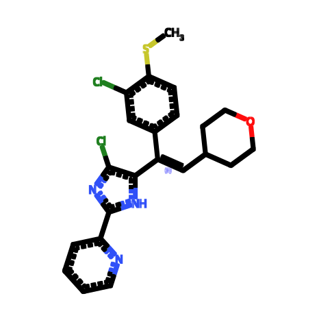 CSc1ccc(/C(=C\C2CCOCC2)c2[nH]c(-c3ccccn3)nc2Cl)cc1Cl